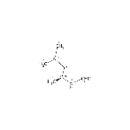 C[C@@H](CN(C)C)NC=O